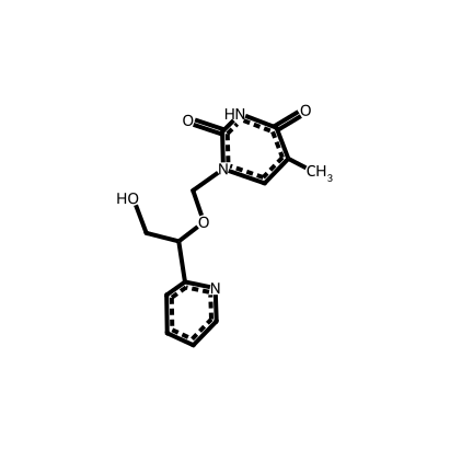 Cc1cn(COC(CO)c2ccccn2)c(=O)[nH]c1=O